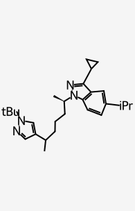 CC(C)c1ccc2c(c1)c(C1CC1)nn2[C@H](C)CCCC(C)c1cnn(C(C)(C)C)c1